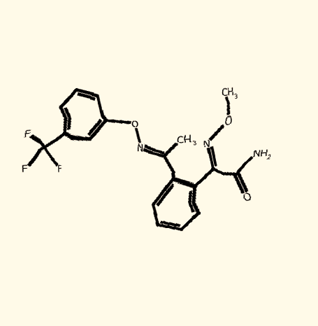 CON=C(C(N)=O)c1ccccc1C(C)=NOc1cccc(C(F)(F)F)c1